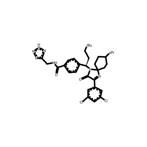 CCCC1CCC2(CC1)N=C(c1cc(Cl)cc(Cl)c1)C(=O)N2[C@H](CCC(C)(C)C)c1ccc(C(=O)NCc2nn[nH]n2)cc1